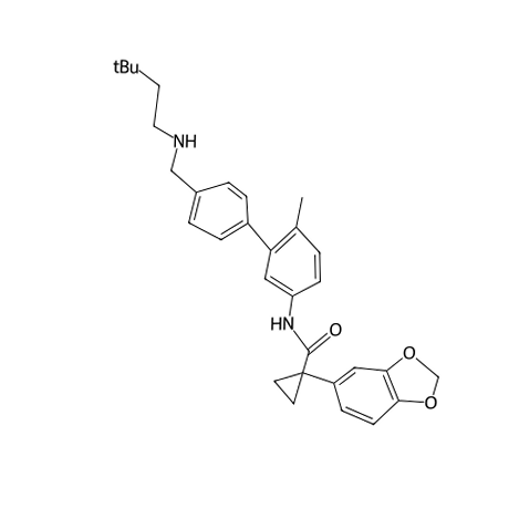 Cc1ccc(NC(=O)C2(c3ccc4c(c3)OCO4)CC2)cc1-c1ccc(CNCCC(C)(C)C)cc1